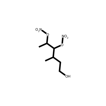 CC(CCO)C(O[N+](=O)[O-])C(C)O[N+](=O)[O-]